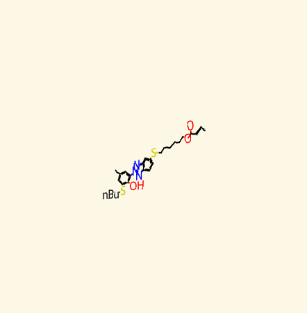 C/C=C/C(=O)OCCCCCCSc1ccc2nn(-c3cc(C)cc(SCCCC)c3O)nc2c1